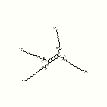 CCCCCCCCCCCCNC(=O)COc1cc2cc3cc(OCC(=O)NCCCCCCCCCCCC)c(OCC(=O)NCCCCCCCCCCCC)cc3cc2cc1OCC(=O)NCCCCCCCCCCCC